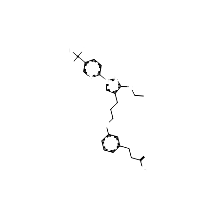 CCOc1nn(-c2ccc(C(F)(F)F)cn2)cc1CCCOc1cccc(CCC(=O)O)c1